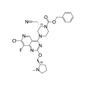 CN1CCC[C@@H]1COc1nc(N2CCN(C(=O)OCc3ccccc3)[C@@H](CC#N)C2)c2cnc(Cl)c(F)c2n1